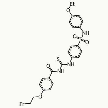 CCOc1ccc(NS(=O)(=O)c2ccc(NC(=S)NC(=O)c3ccc(OCCC(C)C)cc3)cc2)cc1